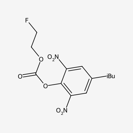 CCC(C)c1cc([N+](=O)[O-])c(OC(=O)OCCF)c([N+](=O)[O-])c1